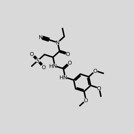 CCN(C#N)C(=O)C(CS(C)(=O)=O)NC(=O)Nc1cc(OC)c(OC)c(OC)c1